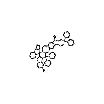 Brc1ccc2c(c1)C1=C(C2)C2(C3=CC=c4cc5c(cc4C=C3C1(c1ccccc1)c1ccccc1)=C1C=CC(c3ccccc3)(c3ccccc3)C=C1C5Br)c1ccccc1-c1ccccc12